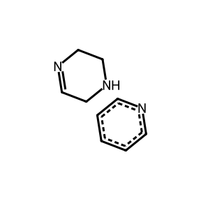 C1=NCCNC1.c1ccncc1